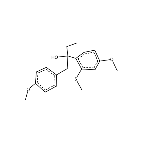 CCC(O)(Cc1ccc(OC)cc1)c1ccc(OC)cc1SC